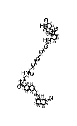 CN(CCCNC(=O)CCOCCOCCOCCOCCNc1cccc2c1C(=O)N(C1CCC(=O)NC1=O)C2=O)C(=O)c1ccc2cc(CCNc3ccnc4ccc(C#N)cc34)ccc2c1